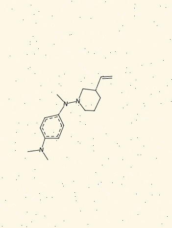 C=CC1CCCN(N(C)c2ccc(N(C)C)cc2)C1